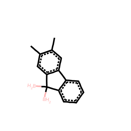 BC1(B)c2ccccc2-c2cc(C)c(C)cc21